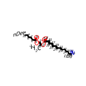 [CH2]C(COC(=O)CCCCCCCCCCCCCCC)OC(=O)CCCCCCCCCCCCC1(CCCC)N=N1